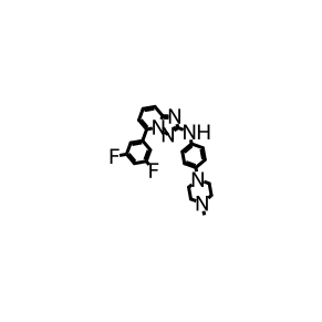 CN1CCN(c2ccc(Nc3nc4cccc(-c5cc(F)cc(F)c5)n4n3)cc2)CC1